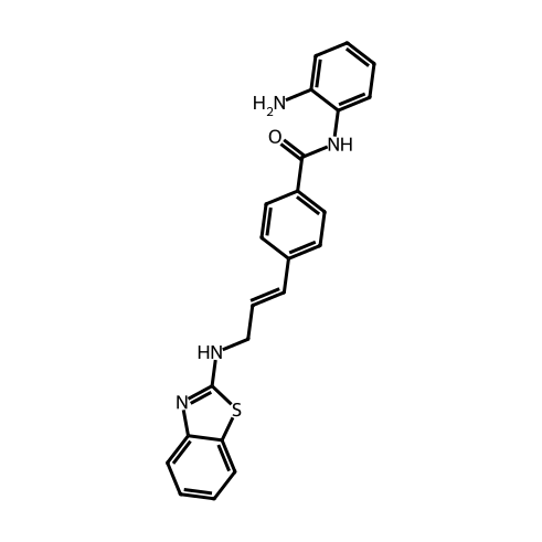 Nc1ccccc1NC(=O)c1ccc(C=CCNc2nc3ccccc3s2)cc1